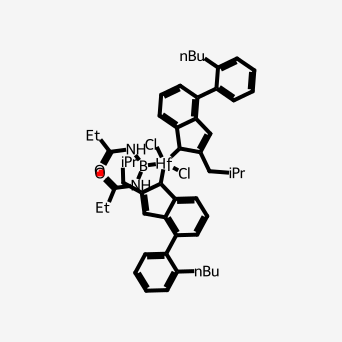 CCCCc1ccccc1-c1cccc2c1C=C(CC(C)C)[CH]2[Hf]([Cl])([Cl])([B](NC(=O)CC)NC(=O)CC)[CH]1C(CC(C)C)=Cc2c(-c3ccccc3CCCC)cccc21